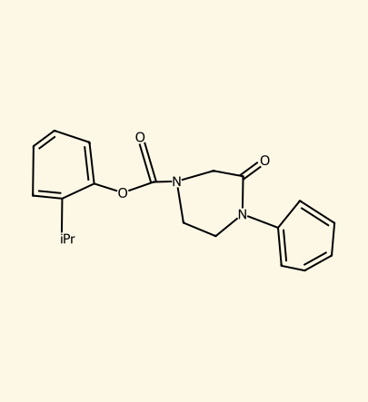 CC(C)c1ccccc1OC(=O)N1CCN(c2ccccc2)C(=O)C1